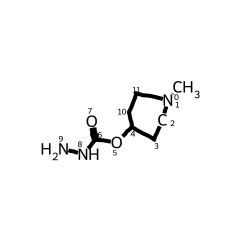 CN1CCC(OC(=O)NN)CC1